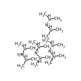 C[SiH](C)[N-][SiH](C)C.C[SiH](C)[N-][SiH](C)C.C[SiH](C)[N-][SiH](C)C.C[SiH](C)[N-][SiH](C)C.[Ti+4]